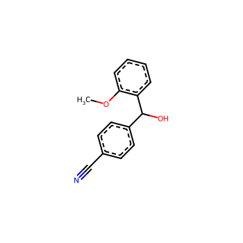 COc1ccccc1C(O)c1ccc(C#N)cc1